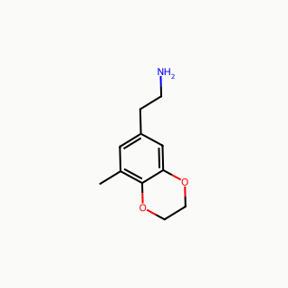 Cc1cc(CCN)cc2c1OCCO2